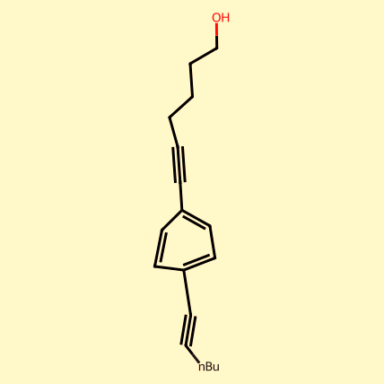 CCCCC#Cc1ccc(C#CCCCCO)cc1